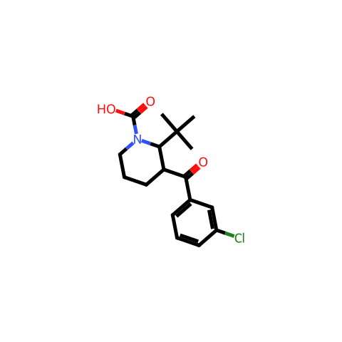 CC(C)(C)C1C(C(=O)c2cccc(Cl)c2)CCCN1C(=O)O